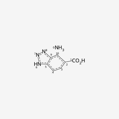 N.O=C(O)c1ccc2[nH]nnc2c1